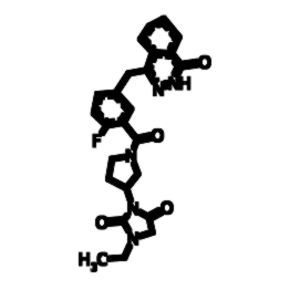 CCN1CC(=O)N(C2CCN(C(=O)c3cc(Cc4n[nH]c(=O)c5ccccc45)ccc3F)C2)C1=O